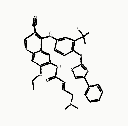 CCOc1cc2ncc(C#N)c(Nc3ccc(Sc4nc(-c5ccccc5)cs4)c(C(F)(F)F)c3)c2cc1NC(=O)C=CCN(C)C